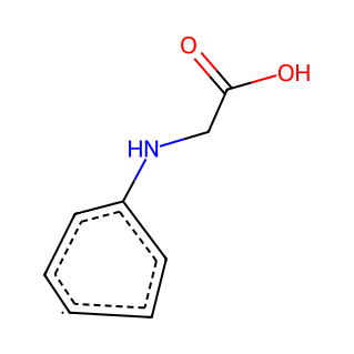 O=C(O)CNc1cc[c]cc1